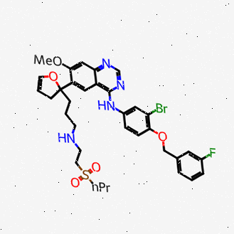 CCCS(=O)(=O)CCNCCCC1(c2cc3c(Nc4ccc(OCc5cccc(F)c5)c(Br)c4)ncnc3cc2OC)CC=CO1